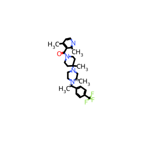 Cc1ccnc(C)c1C(=O)N1CCC(C)(N2CCN([C@@H](C)c3ccc(C(F)(F)F)cc3)[C@@H](C)C2)CC1